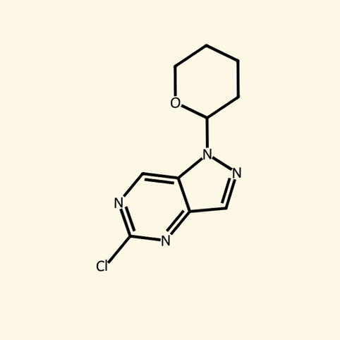 Clc1ncc2c(cnn2C2CCCCO2)n1